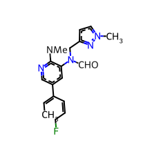 C/C=C(\C=C/CF)c1cnc(NC)c(N(C=O)Cc2ccn(C)n2)c1